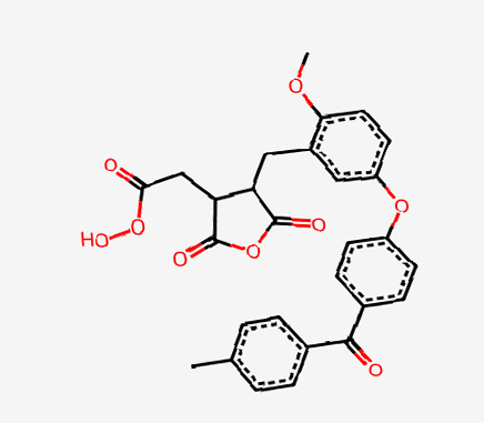 COc1ccc(Oc2ccc(C(=O)c3ccc(C)cc3)cc2)cc1CC1C(=O)OC(=O)C1CC(=O)OO